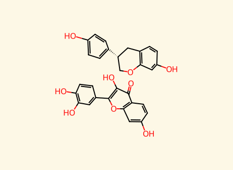 O=c1c(O)c(-c2ccc(O)c(O)c2)oc2cc(O)ccc12.Oc1ccc([C@H]2COc3cc(O)ccc3C2)cc1